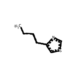 [CH2]CCCc1cscn1